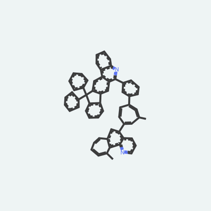 CC1=C=C(c2cccc(-c3nc4ccccc4c4cc5c(cc34)-c3ccccc3C5(c3ccccc3)c3ccccc3)c2)C=CC(c2cc3c(c4ncccc24)C(C)=C=CC=C3)=C1